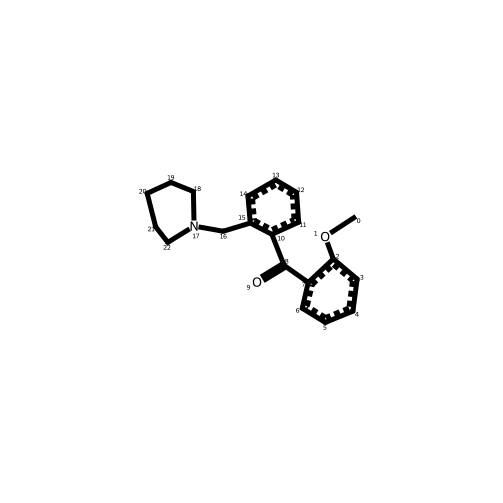 COc1ccccc1C(=O)c1ccccc1CN1CCCCC1